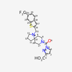 O=C(O)c1ccn(C(=O)N2CCC3(CCCN3Cc3cc4ccc(C(F)(F)F)cc4s3)CC2)n1